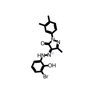 CC1=NN(c2ccc(C)c(C)c2)C(=O)/C1=N\Nc1cccc(Br)c1O